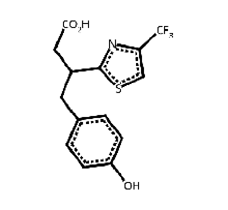 O=C(O)CC(Cc1ccc(O)cc1)c1nc(C(F)(F)F)cs1